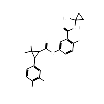 N#CC1(NC(=O)c2cc(NC(=O)C3C(c4ccc(Cl)c(Cl)c4)C3(Cl)Cl)ccc2Cl)CC1